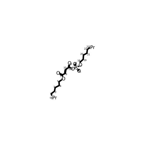 CC(C)CCCCCOC(=O)C=CC(=O)OS(=O)(=O)OCCCCCC(C)C